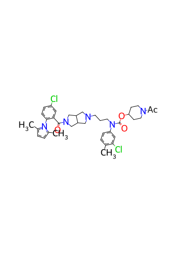 CC(=O)N1CCC(OC(=O)N(CCCN2CC3CN(C(=O)c4cc(Cl)ccc4-n4c(C)ccc4C)CC3C2)c2ccc(C)c(Cl)c2)CC1